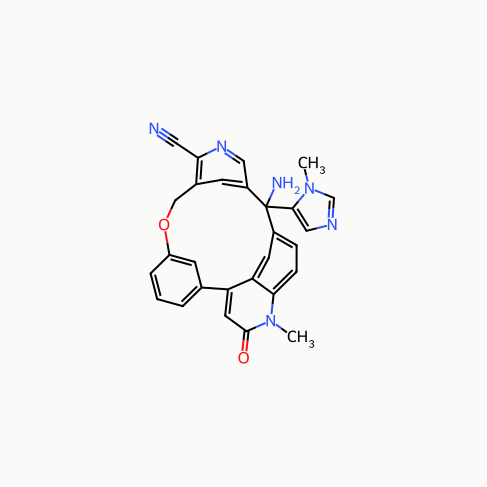 Cn1cncc1C1(N)c2cnc(C#N)c(c2)COc2cccc(c2)-c2cc(=O)n(C)c3ccc1cc23